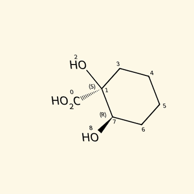 O=C(O)[C@]1(O)CCCC[C@H]1O